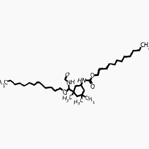 CCCCCCCCCCCCOC(=O)NC1CC(C)(C)CC(C)(C(NC=O)OCCCCCCCCCCCC)C1